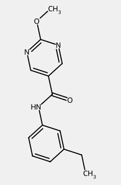 CCc1cccc(NC(=O)c2cnc(OC)nc2)c1